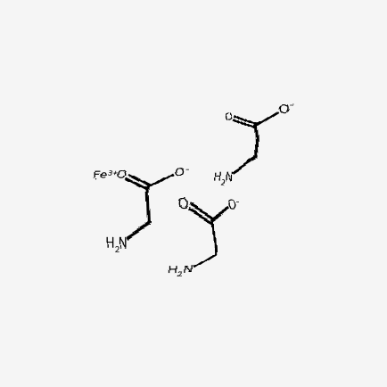 NCC(=O)[O-].NCC(=O)[O-].NCC(=O)[O-].[Fe+3]